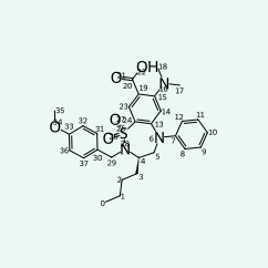 CCCC[C@@H]1CN(c2ccccc2)c2cc(N(C)C)c(C(=O)O)cc2S(=O)(=O)N1Cc1ccc(OC)cc1